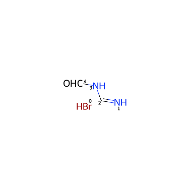 Br.N=CNC=O